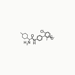 Cc1c(-c2ccc(NC(=O)[C@@H](N)C3CCC(C)CC3)cc2)c(Cl)cc[n+]1[O-]